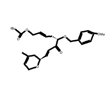 COc1ccc(CO[C@@H](C/C=C/COC(=O)C(C)(C)C)C(=O)/C=C/[C@@H]2CC(C)=CCO2)cc1